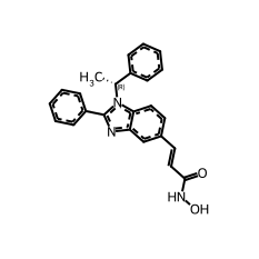 C[C@H](c1ccccc1)n1c(-c2ccccc2)nc2cc(C=CC(=O)NO)ccc21